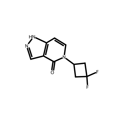 O=c1c2cn[nH]c2ccn1C1CC(F)(F)C1